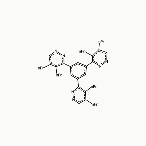 CCCc1cnnc(-c2cc(-c3nncc(CCC)c3CCC)cc(-c3nncc(CCC)c3CCC)c2)c1CCC